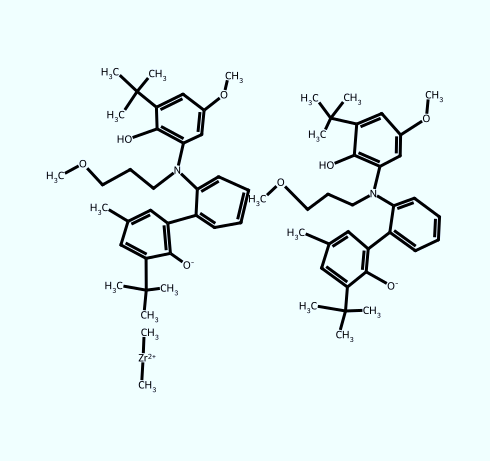 COCCCN(c1ccccc1-c1cc(C)cc(C(C)(C)C)c1[O-])c1cc(OC)cc(C(C)(C)C)c1O.COCCCN(c1ccccc1-c1cc(C)cc(C(C)(C)C)c1[O-])c1cc(OC)cc(C(C)(C)C)c1O.[CH3][Zr+2][CH3]